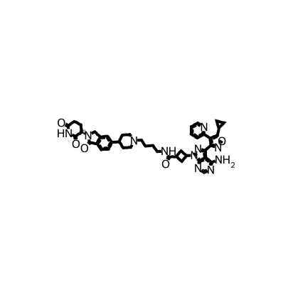 Nc1ncnc2c1c(-c1noc(C3CC3)c1-c1ccccn1)nn2C1CC(C(=O)NCCCCN2CCC(c3ccc4c(c3)CN([C@@H]3CCC(=O)NC3=O)C4=O)CC2)C1